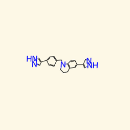 c1cc(-c2cn[nH]c2)ccc1CN1CCCc2cc(-c3cn[nH]c3)ccc21